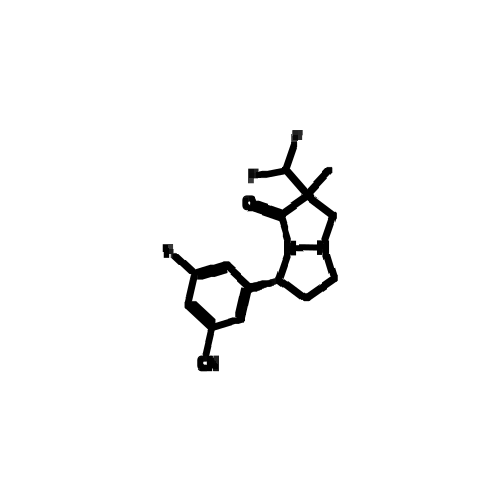 CC1(C(F)F)CN2CC[C@@H](c3cc(F)cc(C#N)c3)N2C1=O